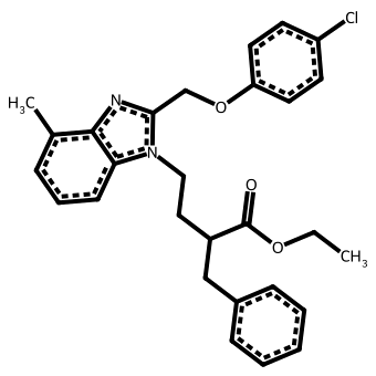 CCOC(=O)C(CCn1c(COc2ccc(Cl)cc2)nc2c(C)cccc21)Cc1ccccc1